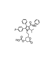 CC(C)c1c(C(=O)Nc2ccccc2)c(-c2ccccc2)c(-c2ccc(F)cc2)n1CCC1CC(OC(=O)O)CC(=O)O1